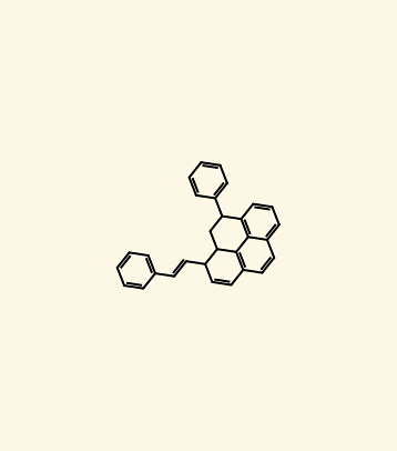 C(=CC1C=Cc2ccc3cccc4c3c2C1CC4c1ccccc1)c1ccccc1